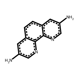 Nc1cnc2c(ccc3cc(N)cnc32)c1